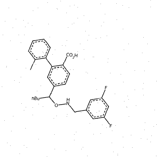 CCCCC(ONCc1cc(F)cc(F)c1)c1ccc(C(=O)O)c(-c2ccccc2C)c1